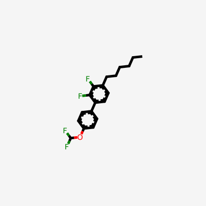 CCCCCCc1ccc(-c2ccc(OC(F)F)cc2)c(F)c1F